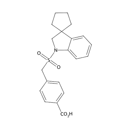 O=C(O)c1ccc(CS(=O)(=O)N2CC3(CCCC3)c3ccccc32)cc1